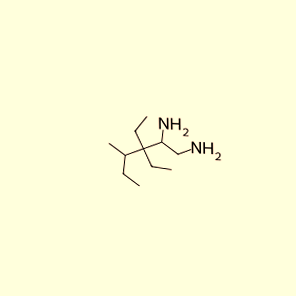 CCC(C)C(CC)(CC)C(N)CN